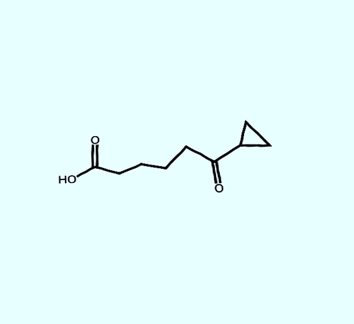 O=C(O)CCCCC(=O)C1CC1